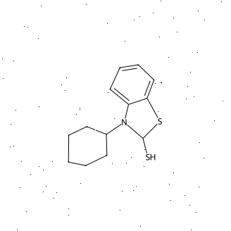 SC1Sc2ccccc2N1C1CCCCC1